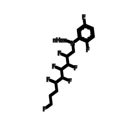 CCCCCCN(CC(F)C(F)C(F)C(F)C(F)CCCF)c1cc(F)ccc1F